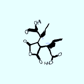 C/C=C(\C(=O)O)C1C(=O)OC(=O)C1/C(=C/C)C(=O)O